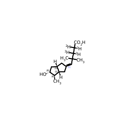 [2H]C([2H])(C(=O)O)C([2H])([2H])C(C)(C)/C=C1\C[C@H]2C[C@@H](O)[C@H](C)[C@H]2C1